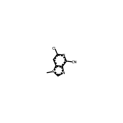 Cn1cnc2c(C#N)nc(Cl)cc21